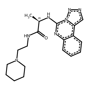 C[C@@H](Nc1nc2ccccc2c2cnnn12)C(=O)NCCN1CCCCC1